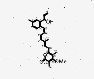 C=CC(O)c1cc(C)ccc1\C=C/C=C\C(C)=C\Cc1oc(=O)c(C)c(OC)c1C